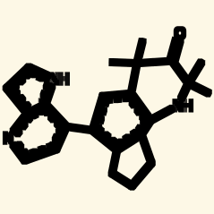 CC1(C)Nc2c(cc(-c3ccnc4cc[nH]c34)c3c2CCC3)C(C)(C)C1=O